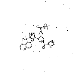 CC(F)(c1nnc(C2CN(C(=O)c3cncs3)CC23CN(C(=O)[C@H]2CC2(C)C)C3)o1)c1cccc2ccccc12